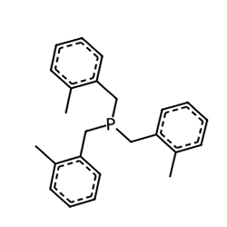 Cc1ccccc1CP(Cc1ccccc1C)Cc1ccccc1C